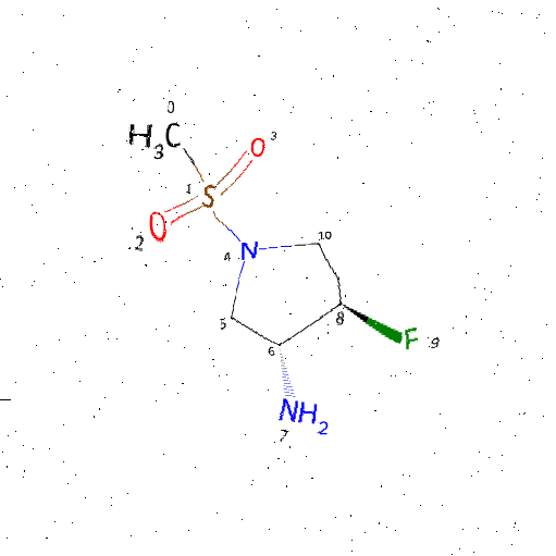 CS(=O)(=O)N1C[C@@H](N)[C@H](F)C1